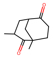 CC1CC2CC(C)(CCC2=O)C1=O